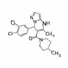 CC1=C(C(=O)N2CCC(C)CC2)C(c2ccc(Cl)c(Cl)c2)n2nccc2N1